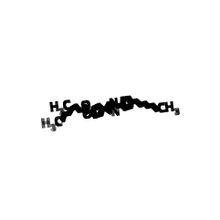 CCCCCCCc1ccc(-c2ncc(-c3ccc(OC(=O)CCC(C)CCCC)cc3)cn2)cc1